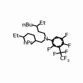 CCCCC(CC)CCN(CC(C)CCC(CC)CCC)c1cc(F)c(F)c(C(F)(F)C(F)(F)F)c1F